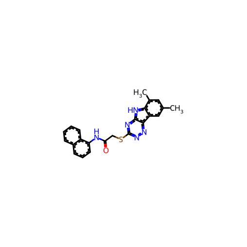 Cc1cc(C)c2[nH]c3nc(SCC(=O)Nc4cccc5ccccc45)nnc3c2c1